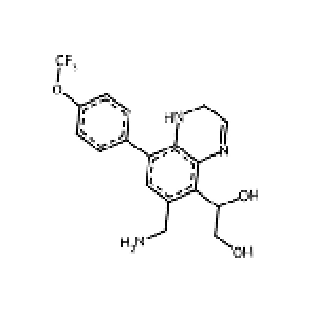 NCc1cc(-c2ccc(OC(F)(F)F)cc2)c2c(c1C(O)CO)N=CCN2